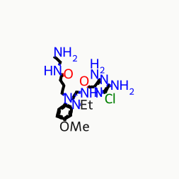 CCn1c(CNC(=O)c2nc(Cl)c(N)nc2N)[n+](CCCC(=O)NCCN)c2ccc(OC)cc21